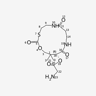 CC1(C)COC(=O)SCCNC(=O)CCNC(=O)[C@@H]1OC(=O)CN